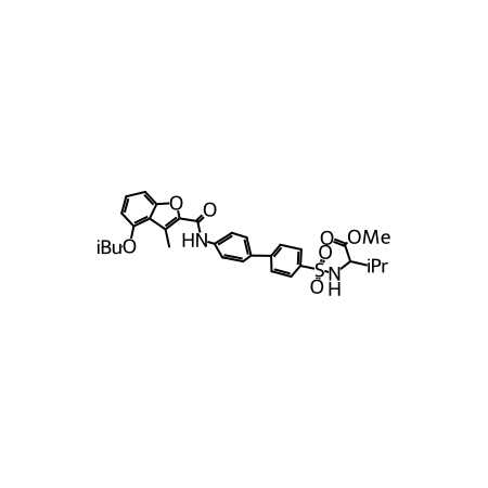 CCC(C)Oc1cccc2oc(C(=O)Nc3ccc(-c4ccc(S(=O)(=O)NC(C(=O)OC)C(C)C)cc4)cc3)c(C)c12